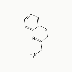 N[CH]c1ccc2ccccc2n1